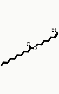 C/C=C/CCCCCCC(=O)OCCCCC/C=C\CC